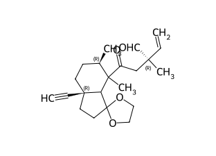 C#C[C@@]12CC[C@@H](C)C(C)(C(=O)C[C@](C)(C=C)C=O)C1C1(CC2)OCCO1